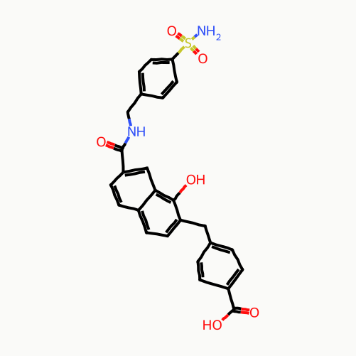 NS(=O)(=O)c1ccc(CNC(=O)c2ccc3ccc(Cc4ccc(C(=O)O)cc4)c(O)c3c2)cc1